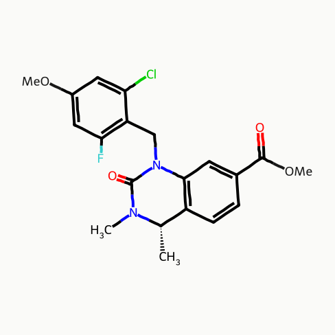 COC(=O)c1ccc2c(c1)N(Cc1c(F)cc(OC)cc1Cl)C(=O)N(C)[C@H]2C